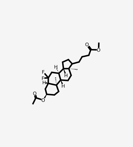 COC(=O)CCCC1CC[C@H]2[C@@H]3CC(F)(F)[C@H]4C[C@H](OC(C)=O)CC[C@]4(C)[C@H]3CC[C@]12C